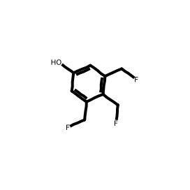 Oc1cc(CF)c(CF)c(CF)c1